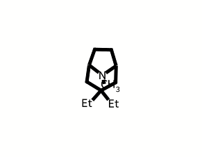 CCC1(CC)CC2CCC(C1)N2C